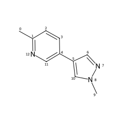 Cc1ccc(-c2cnn(C)c2)cn1